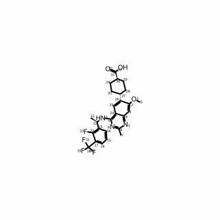 COc1cc2nc(C)nc(N[C@H](C)c3cccc(C(F)(F)F)c3F)c2cc1[C@H]1CC[C@H](C(=O)O)CC1